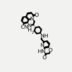 N#Cc1ccc2ccc(=O)n(CC(N)[C@H]3CC[C@H](NCc4ccc5c(n4)NC(=O)CO5)CC3)c2c1